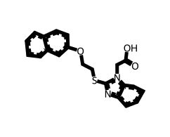 O=C(O)Cn1c(SCCOc2ccc3ccccc3c2)nc2ccccc21